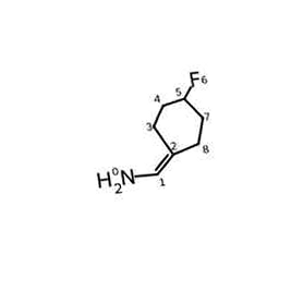 NC=C1CCC(F)CC1